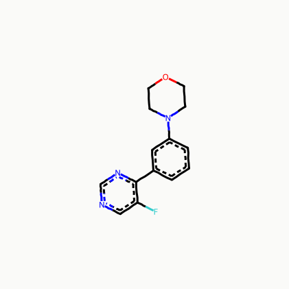 Fc1cncnc1-c1cccc(N2CCOCC2)c1